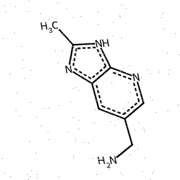 Cc1nc2cc(CN)cnc2[nH]1